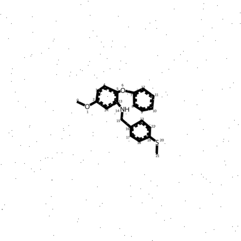 COc1ccc(Oc2ccccc2)c(NCc2ccc(SC)cc2)c1